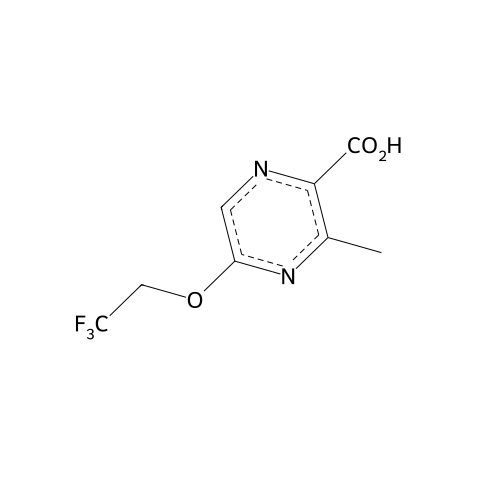 Cc1nc(OCC(F)(F)F)cnc1C(=O)O